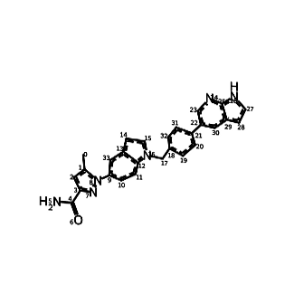 Cc1cc(C(N)=O)nn1-c1ccc2c(ccn2Cc2ccc(-c3cnc4[nH]ccc4c3)cc2)c1